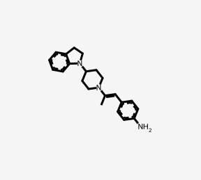 CC(=Cc1ccc(N)cc1)N1CCC(N2CCc3ccccc32)CC1